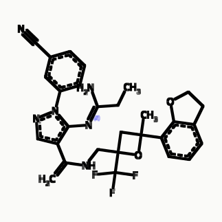 C=C(NCC1(C(F)(F)F)CC(C)(c2cccc3c2OCC3)O1)c1cnn(-c2cccc(C#N)c2)c1/N=C(\N)CC